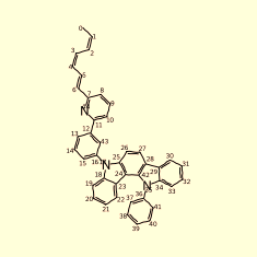 C\C=C/C=C\C=C\c1cccc(-c2cccc(-n3c4ccccc4c4c3ccc3c5ccccc5n(-c5ccccc5)c34)c2)n1